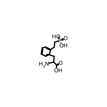 NC(Cc1ccccc1CCP(=O)(O)O)C(=O)O